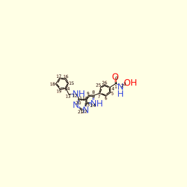 O=C(NO)c1ccc(-c2cc3c(NCc4ccccc4)ncnc3[nH]2)cc1